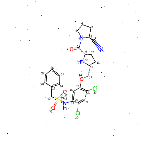 N#C[C@@H]1CCCN1C(=O)[C@@H]1CC[C@H](COc2cc(NS(=O)(=O)Cc3ccccc3)c(Cl)cc2Cl)N1